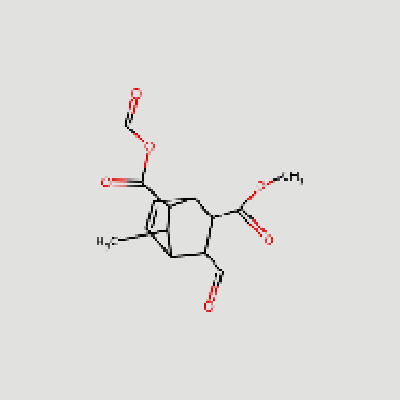 COC(=O)C1C(C=O)C2C=CC1C(C(=O)OC=O)C2C